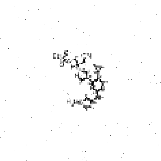 CCS(=O)(=O)N1CC(CC#N)(n2cc(-c3nc(Nc4cnn(C)c4)ncc3C3CC3)cn2)C1